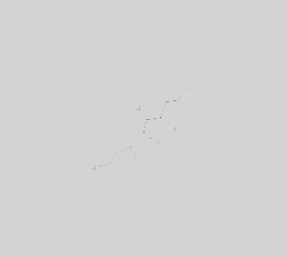 CC(Br)CC(Br)C(Br)C(Br)CC(Br)CCBr